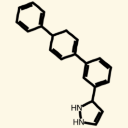 C1=CC(c2cccc(C3=CCC(c4ccccc4)C=C3)c2)NN1